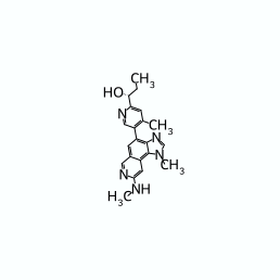 CC[C@@H](O)c1cc(C)c(-c2cc3cnc(NC)cc3c3c2ncn3C)cn1